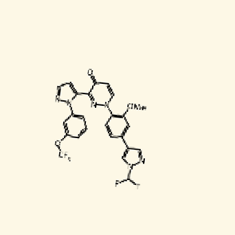 COc1cc(-c2cnn(C(F)F)c2)ccc1-n1ccc(=O)c(-c2ccnn2-c2cccc(OC(F)(F)F)c2)n1